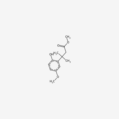 COC(=O)CC(C)(C)c1cc(OC)ccc1O